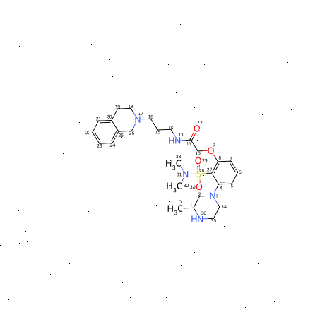 CC1CN(c2cccc(OCC(=O)NCCCN3CCc4ccccc4C3)c2S(=O)(=O)N(C)C)CCN1